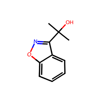 CC(C)(O)c1noc2ccccc12